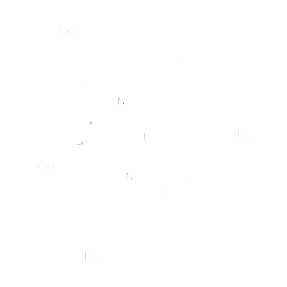 Cc1cc2c3c(c1)N(c1ccc(C(C)(C)C)cc1)c1oc4ccc(C(C)(C)C)cc4c1B3c1cc3c(cc1N2c1ccc(C(C)(C)C)cc1-c1ccc(C(C)(C)C)cc1)C(C)(C)CCC3(C)C